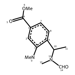 CNc1cc(C(=O)OC)ccc1C(C)N(C)C=O